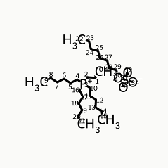 C=CC[P+](CCCCCC)(CCCCCC)CCCCCC.CCCCCCCCOS(=O)(=O)[O-]